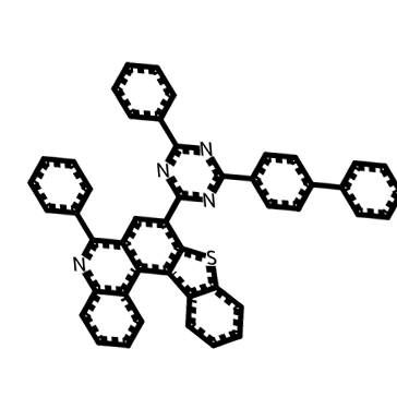 c1ccc(-c2ccc(-c3nc(-c4ccccc4)nc(-c4cc5c(-c6ccccc6)nc6ccccc6c5c5c4sc4ccccc45)n3)cc2)cc1